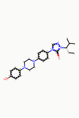 CC[C@@H](C(C)C)n1ncn(-c2ccc(N3CCN(c4ccc(O)cc4)CC3)cc2)c1=O